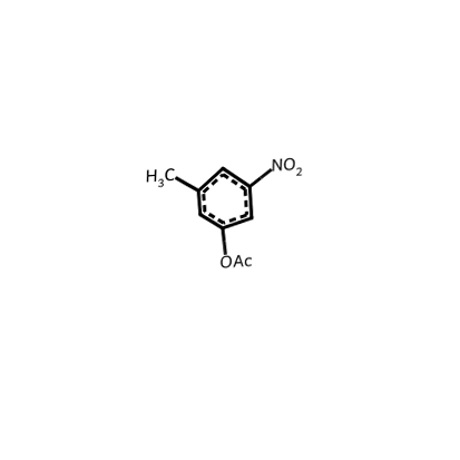 CC(=O)Oc1cc(C)cc([N+](=O)[O-])c1